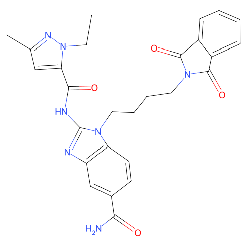 CCn1nc(C)cc1C(=O)Nc1nc2cc(C(N)=O)ccc2n1CCCCN1C(=O)c2ccccc2C1=O